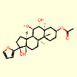 CC(=O)O[C@H]1CC[C@@]2(C)[C@H](C1)[C@@H](O)[C@H](O)C1[C@@H]2CC[C@@]2(C)[C@H]1CC[C@@]2(O)c1ccco1